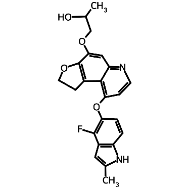 Cc1cc2c(F)c(Oc3ccnc4cc(OCC(C)O)c5c(c34)CCO5)ccc2[nH]1